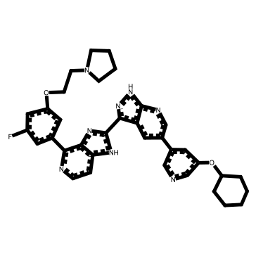 Fc1cc(OCCN2CCCC2)cc(-c2nccc3[nH]c(-c4n[nH]c5ncc(-c6cncc(OC7CCCCC7)c6)cc45)nc23)c1